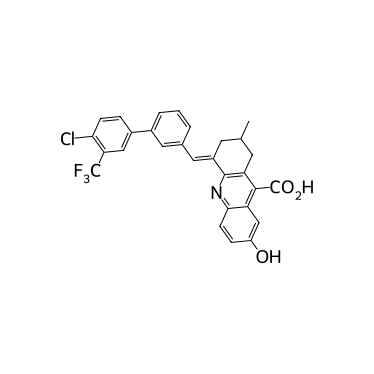 CC1C/C(=C\c2cccc(-c3ccc(Cl)c(C(F)(F)F)c3)c2)c2nc3ccc(O)cc3c(C(=O)O)c2C1